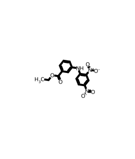 CCOC(=O)c1cccc(Nc2ccc([N+](=O)[O-])cc2[N+](=O)[O-])c1